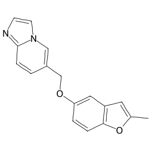 Cc1cc2cc(OCc3ccc4nccn4c3)ccc2o1